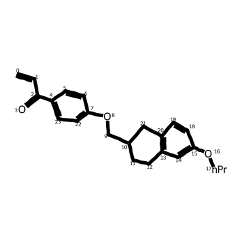 C=CC(=O)c1ccc(OCC2CCc3cc(OCCC)ccc3C2)cc1